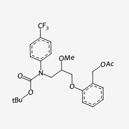 COC(COc1ccccc1COC(C)=O)CN(C(=O)OC(C)(C)C)c1ccc(C(F)(F)F)cc1